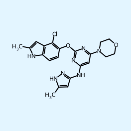 Cc1cc(Nc2cc(N3CCOCC3)nc(Oc3ccc4[nH]c(C)cc4c3Cl)n2)n[nH]1